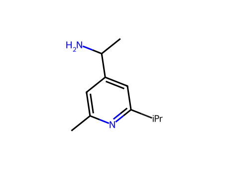 Cc1cc(C(C)N)cc(C(C)C)n1